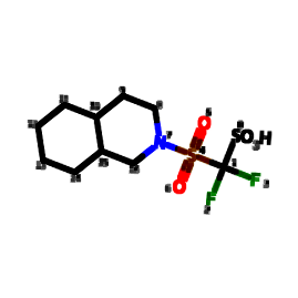 O=S(=O)(O)C(F)(F)S(=O)(=O)N1CCC2CCCCC2C1